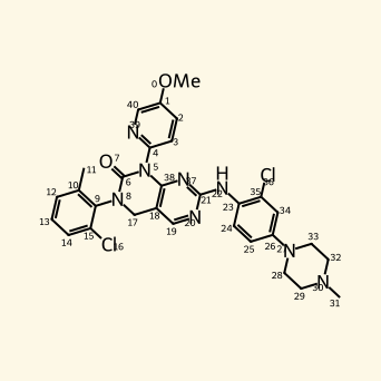 COc1ccc(N2C(=O)N(c3c(C)cccc3Cl)Cc3cnc(Nc4ccc(N5CCN(C)CC5)cc4Cl)nc32)nc1